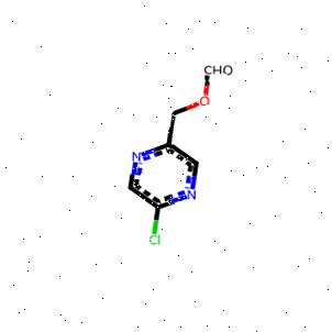 O=COCc1cnc(Cl)cn1